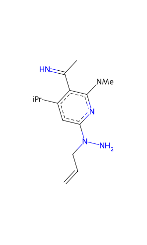 C=CCN(N)c1cc(C(C)C)c(C(C)=N)c(NC)n1